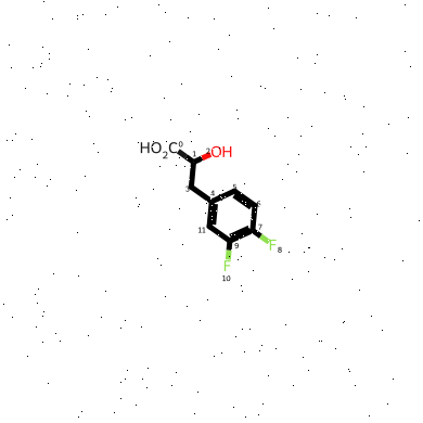 O=C(O)C(O)Cc1ccc(F)c(F)c1